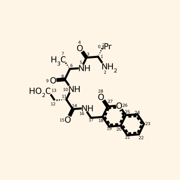 CC(C)[C@H](N)C(=O)N[C@@H](C)C(=O)N[C@@H](CC(=O)O)C(=O)NCc1cc2ccccc2oc1=O